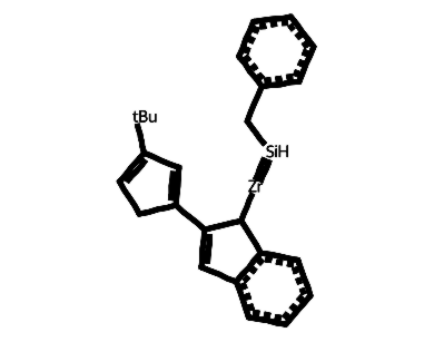 CC(C)(C)C1=CCC(C2=Cc3ccccc3[CH]2/[Zr]=[SiH]/Cc2ccccc2)=C1